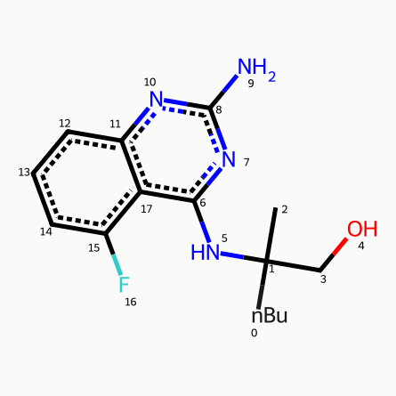 CCCCC(C)(CO)Nc1nc(N)nc2cccc(F)c12